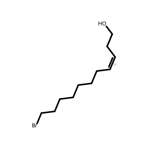 OCC/C=C\CCCCCCCBr